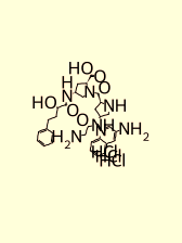 Cl.Cl.Cl.NCC(=O)N[C@@H]1CN[C@H](C(=O)N2C[C@H](NC(=O)[C@H](O)CCc3ccccc3)C[C@H]2C(=O)O)C1.Nc1cnc2ccccc2c1